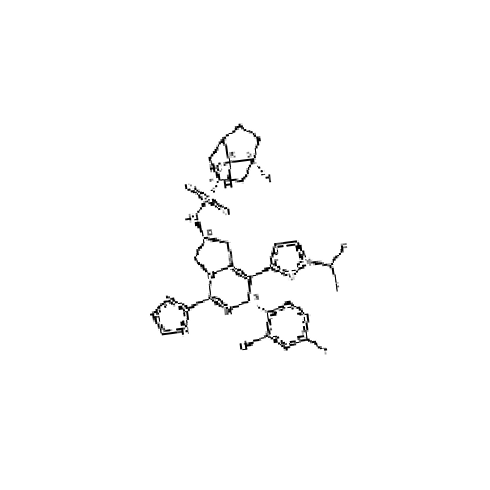 O=S(=O)(N[C@H]1CC2=C(c3ccn(C(F)F)n3)[C@H](c3ccc(F)cc3Cl)N=C(c3nccs3)N2C1)[C@@H]1CC2CC[C@@H](C1)[C@@H]2O